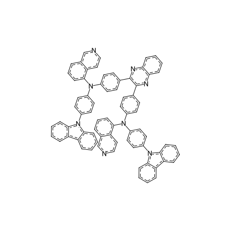 c1cc(N(c2ccc(-c3nc4ccccc4nc3-c3ccc(N(c4ccc(-n5c6ccccc6c6ccccc65)cc4)c4cccc5cnccc45)cc3)cc2)c2ccc(-n3c4ccccc4c4ccccc43)cc2)c2ccncc2c1